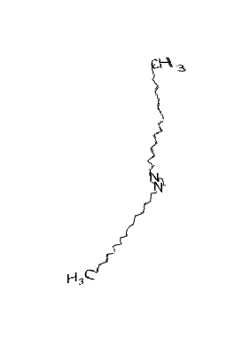 CCCCCCCCCCCCCCCCCCN1CCN(CCCCCCCCCCCCCCCCCC)C1